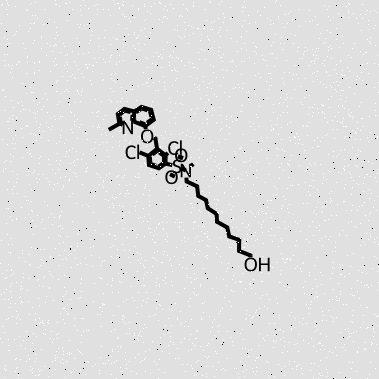 Cc1ccc2cccc(OCc3c(Cl)ccc(S(=O)(=O)N(C)CCCCCCCCCCCCO)c3Cl)c2n1